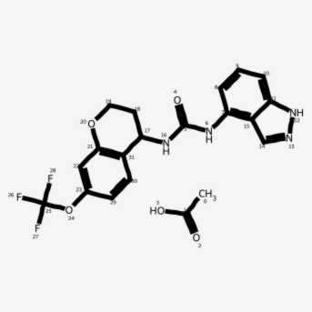 CC(=O)O.O=C(Nc1cccc2[nH]ncc12)NC1CCOc2cc(OC(F)(F)F)ccc21